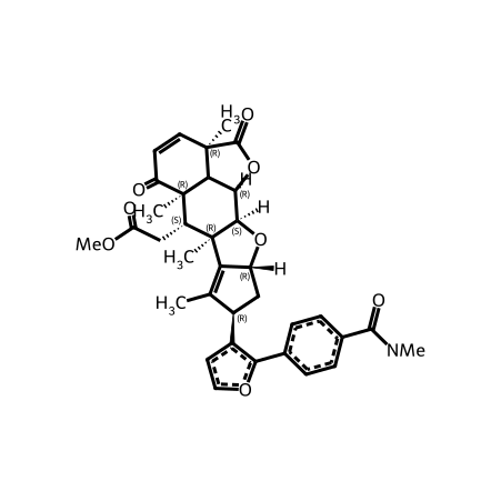 CNC(=O)c1ccc(-c2occc2[C@@H]2C[C@H]3O[C@@H]4[C@@H]5OC(=O)[C@]6(C)C=CC(=O)[C@@](C)(C56)[C@@H](CC(=O)OC)[C@]4(C)C3=C2C)cc1